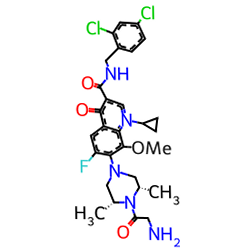 COc1c(N2C[C@@H](C)N(C(=O)CN)[C@@H](C)C2)c(F)cc2c(=O)c(C(=O)NCc3ccc(Cl)cc3Cl)cn(C3CC3)c12